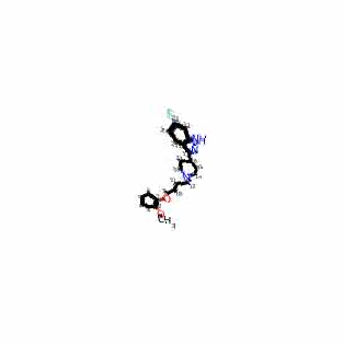 COc1c[c]ccc1OCCCCN1CCC(c2n[nH]c3cc(F)ccc23)CC1